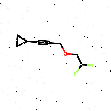 FC(F)COCC#CC1CC1